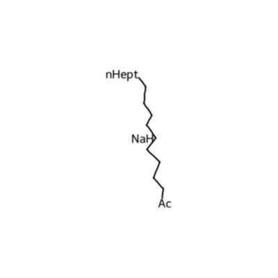 CCCCCCCCCCCCCCCCC(C)=O.[NaH]